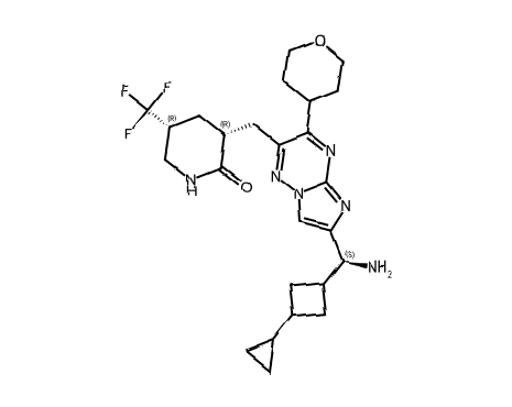 N[C@H](c1cn2nc(C[C@H]3C[C@@H](C(F)(F)F)CNC3=O)c(C3CCOCC3)nc2n1)C1CC(C2CC2)C1